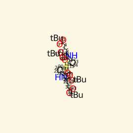 CC(C)(C)OC(=O)CCC[C@H](NC(=O)c1ccccc1SSc1ccccc1C(=O)N[C@@H](CCCC(=O)OC(C)(C)C)C(=O)OC(C)(C)C)C(=O)OC(C)(C)C